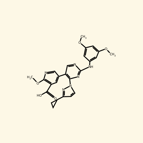 COc1cc(Nc2ncc(-c3cnc(OC)c(C(=O)O)c3)c(-n3ccc(C4CC4)n3)n2)cc(OC)c1